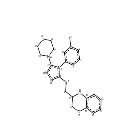 Cc1cccc(-n2c(SCC3COc4ccccc4O3)nnc2N2CCOCC2)c1